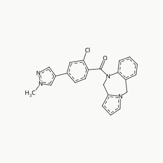 Cn1cc(-c2ccc(C(=O)N3Cc4cccn4Cc4ccccc43)c(Cl)c2)cn1